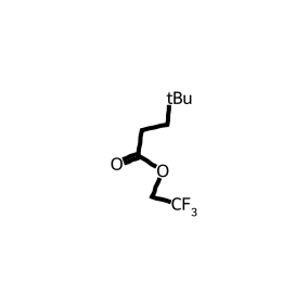 CC(C)(C)CCC(=O)OCC(F)(F)F